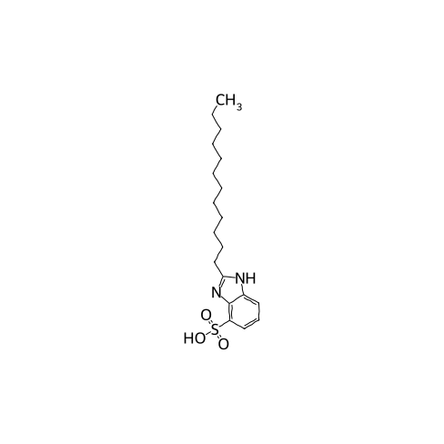 CCCCCCCCCCCCc1nc2c(S(=O)(=O)O)cccc2[nH]1